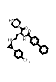 Cc1ccc([C@@H]2C[C@H]2NCC[C@H](NC(=O)c2ccc(-c3ccccc3)cc2)C(=O)N2CCNCC2)cc1